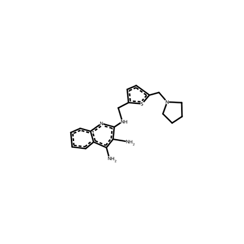 Nc1c(NCc2ccc(CN3CCCC3)s2)nc2ccccc2c1N